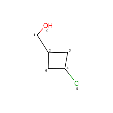 OCC1CC(Cl)C1